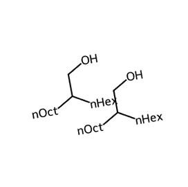 CCCCCCCCC(CO)CCCCCC.CCCCCCCCC(CO)CCCCCC